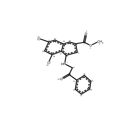 COC(=O)c1cc(NCC(=O)c2ccccc2)c2c(Cl)cc(Cl)cc2c1